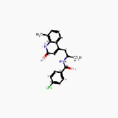 Cc1cccc2c(CC(NC(=O)c3ccc(Cl)cc3)C(=O)O)cc(=O)[nH]c12